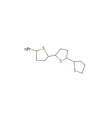 CCCC1CCC(C2CCC(C3CCCS3)S2)S1